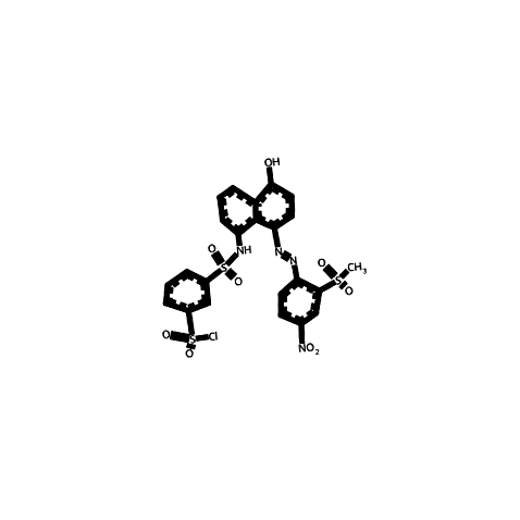 CS(=O)(=O)c1cc([N+](=O)[O-])ccc1N=Nc1ccc(O)c2cccc(NS(=O)(=O)c3cccc(S(=O)(=O)Cl)c3)c12